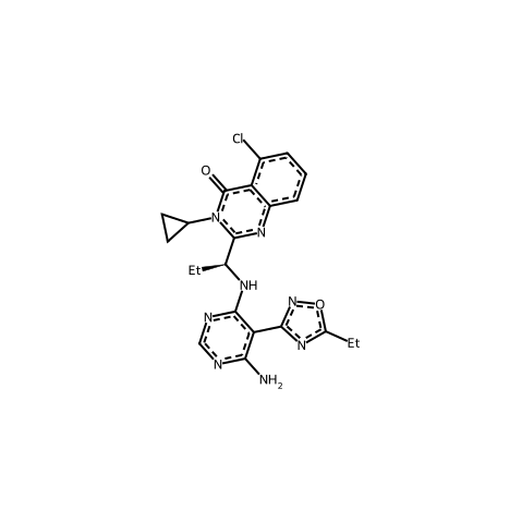 CCc1nc(-c2c(N)ncnc2N[C@@H](CC)c2nc3cccc(Cl)c3c(=O)n2C2CC2)no1